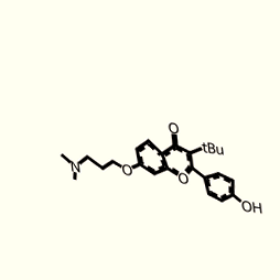 CN(C)CCCOc1ccc2c(=O)c(C(C)(C)C)c(-c3ccc(O)cc3)oc2c1